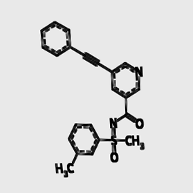 Cc1cccc(S(C)(=O)=NC(=O)c2cncc(C#Cc3ccccc3)c2)c1